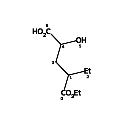 CCOC(=O)C(CC)CC(O)C(=O)O